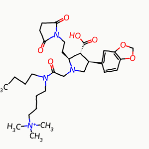 CCCCN(CCCC[N+](C)(C)C)C(=O)CN1C[C@H](c2ccc3c(c2)OCO3)[C@@H](C(=O)O)[C@@H]1CCN1C(=O)CCC1=O